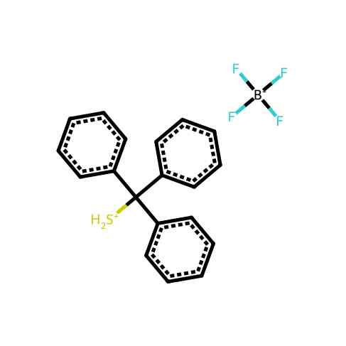 F[B-](F)(F)F.[SH2+]C(c1ccccc1)(c1ccccc1)c1ccccc1